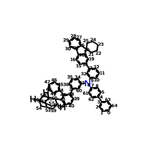 c1ccc(-c2ccc(N(c3cccc(-c4ccc5c(c4)C4(CCCCC4)c4ccccc4-5)c3)c3cccc(-c4cccc5c4-c4ccccc4[C@]54[C@@H]5CC6C[C@@H](C5)C[C@@H]4C6)c3)cc2)cc1